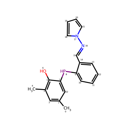 Cc1cc(C)c(O)c(Pc2ccccc2/C=N/n2cccc2)c1